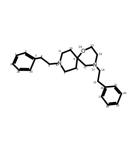 c1ccc(CCN2CCC3(CC2)CN(CCc2ccccc2)CCO3)cc1